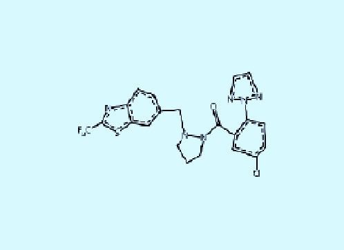 O=C(c1cc(Cl)ccc1-n1nccn1)N1CCCN1Cc1ccc2nc(C(F)(F)F)sc2c1